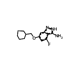 Nc1[nH]nc2cc(OCC3CCCCC3)cc(F)c12